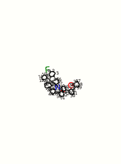 Fc1ccc2c(c1)C1(c3ccccc3-c3ccccc31)c1cc(N(c3ccc(-c4cccc5c4oc4ccccc45)cc3)c3ccccc3-c3ccccc3)ccc1-2